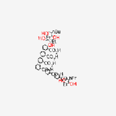 CCC(O)CCO.CCCC(CO)C(O)CC.CCCCC(CO)C(O)CC.O=C(O)c1ccccc1.O=C(O)c1ccccc1.O=C(O)c1ccccc1.O=C(O)c1ccccc1.O=C(O)c1ccccc1.O=C(O)c1ccccc1